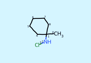 CC1(NCl)CCCCC1